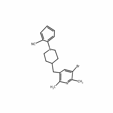 Cc1nc(C)c(CC2CCN(c3ccccc3C#N)CC2)cc1Br